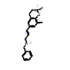 Cc1cc(/C=C/CNCc2ccccc2)cc2c1O[C@](C)(F)CC2